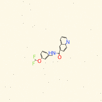 O=C(NCc1cccc(OC(F)F)c1)c1ccc2ncccc2c1